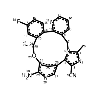 Cc1nc(C#N)c2n1Cc1cccnc1-c1ccc(F)cc1[C@@H](C)Oc1cc-2cnc1N